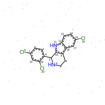 Clc1ccc(C2NCCc3c2[nH]c2ccc(Cl)cc32)c(Cl)c1